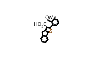 COCc1ccccc1-c1sc2c(c1C(=O)O)Cc1ccccc1-2